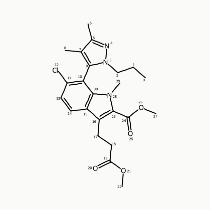 CCCn1nc(C)c(C)c1-c1c(Cl)ccc2c(CCC(=O)OC)c(C(=O)OC)n(C)c12